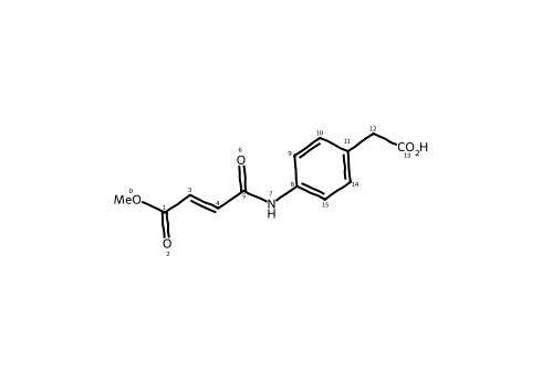 COC(=O)/C=C/C(=O)Nc1ccc(CC(=O)O)cc1